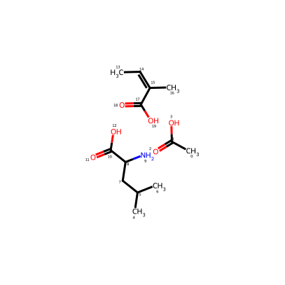 CC(=O)O.CC(C)CC(N)C(=O)O.CC=C(C)C(=O)O